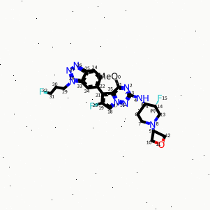 COc1nc(N[C@@H]2CCN(C3COC3)C[C@H]2F)nn2cc(F)c(-c3ccc4nnn(CCCF)c4c3)c12